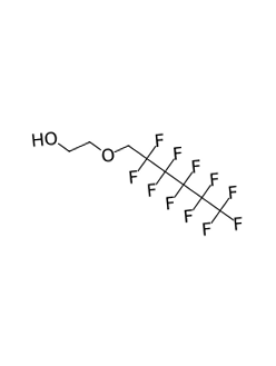 OCCOCC(F)(F)C(F)(F)C(F)(F)C(F)(F)C(F)(F)F